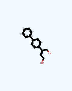 BrC/C=C(\CBr)c1ccc(-c2ccccc2)cc1